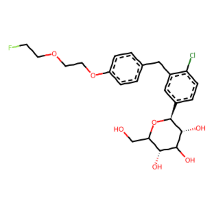 OCC1O[C@@H](c2ccc(Cl)c(Cc3ccc(OCCOCCF)cc3)c2)[C@H](O)C(O)[C@@H]1O